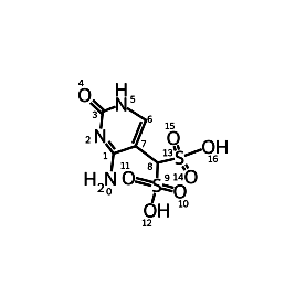 Nc1nc(=O)[nH]cc1C(S(=O)(=O)O)S(=O)(=O)O